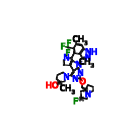 Cc1cc2[nH]ncc2c(-c2nccc3c4c(N5CCC[C@@](C)(O)C5)nc(OC[C@@]56CCCN5C[C@H](F)C6)nc4n(C)c23)c1C(F)(F)F